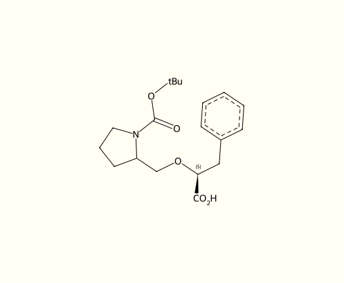 CC(C)(C)OC(=O)N1CCCC1CO[C@@H](Cc1ccccc1)C(=O)O